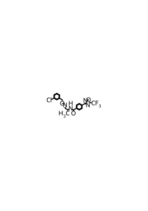 CC(C=NOCc1cccc(Cl)c1)NC(=O)c1ccc(-c2noc(C(F)(F)F)n2)cc1